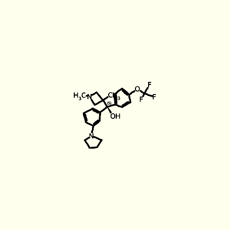 CN1CC(C)([C@](O)(c2ccc(OC(F)(F)F)cc2)c2cccc(N3CCCC3)c2)C1